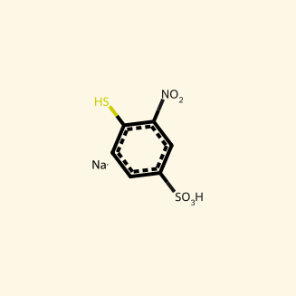 O=[N+]([O-])c1cc(S(=O)(=O)O)ccc1S.[Na]